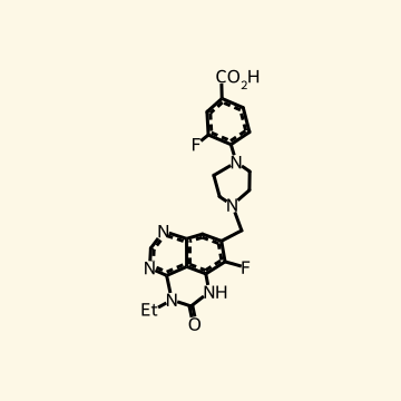 CCN1C(=O)Nc2c(F)c(CN3CCN(c4ccc(C(=O)O)cc4F)CC3)cc3ncnc1c23